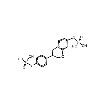 O=P(O)(O)Oc1ccc(C2COc3cc(OP(=O)(O)O)ccc3C2)cc1